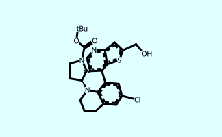 CC(C)(C)OC(=O)N1CC[C@H](N2CCCc3cc(Cl)cc(-c4c(F)cnc5cc(CO)sc45)c32)C1